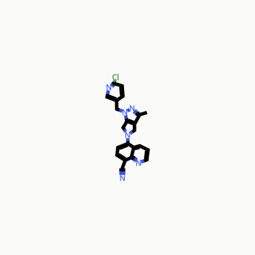 Cc1nn(Cc2ccc(Cl)nc2)c2c1CN(c1ccc(C#N)c3ncccc13)C2